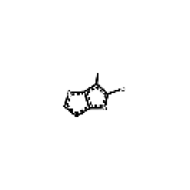 Cc1c(Cl)oc2ccoc12